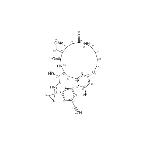 C#Cc1cccc(C2(NCC(O)C3Cc4cc(F)cc(c4)OCCCCNC(=O)CCC(COC)C(=O)N3)CC2)c1